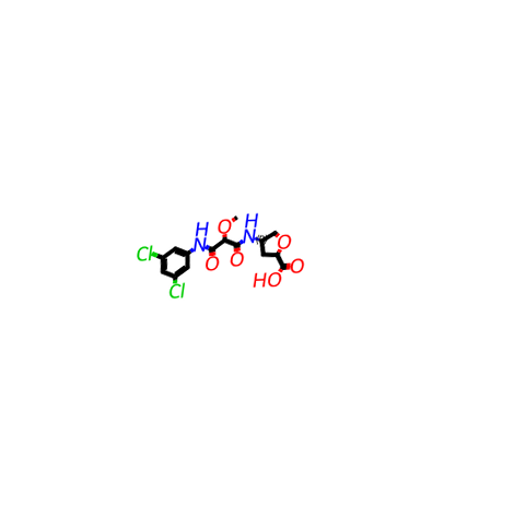 COC(C(=O)Nc1cc(Cl)cc(Cl)c1)C(=O)N[C@H]1COC(C(=O)O)C1